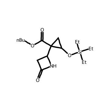 CCCCOC(=O)C1(C2CC(=O)N2)CC1O[Si](CC)(CC)CC